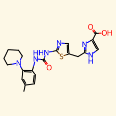 Cc1ccc(NC(=O)Nc2ncc(Cc3nc(C(=O)O)c[nH]3)s2)c(N2CCCCC2)c1